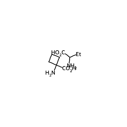 CCC(N)C(=O)O.NC1(C(=O)O)CCC1